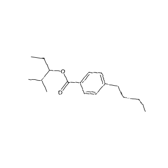 CCCCc1ccc(C(=O)OC(CC)C(C)C)cc1